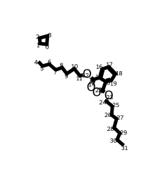 C1CCC1.CCCCCCCCOC(=O)c1ccccc1C(=O)OCCCCCCCC